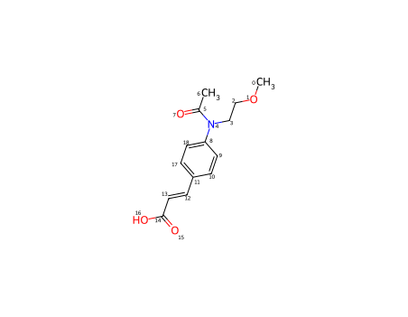 COCCN(C(C)=O)c1ccc(/C=C/C(=O)O)cc1